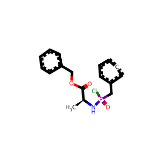 C[C@H](NP(=O)(Cl)Cc1ccccc1)C(=O)OCc1ccccc1